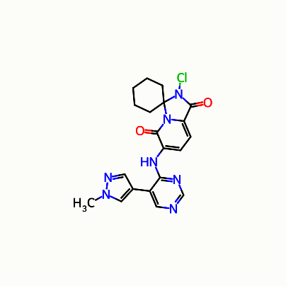 Cn1cc(-c2cncnc2Nc2ccc3n(c2=O)C2(CCCCC2)N(Cl)C3=O)cn1